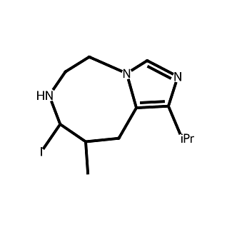 CC(C)c1ncn2c1CC(C)C(I)NCC2